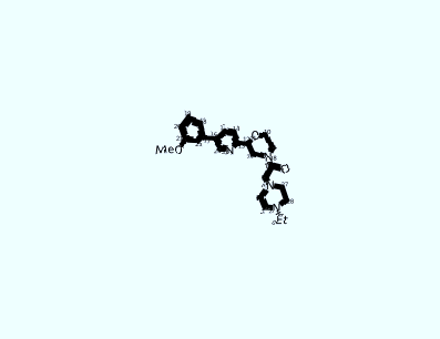 CCN1CCN(CC(=O)N2CCOC(c3ccc(-c4cccc(OC)c4)cn3)C2)CC1